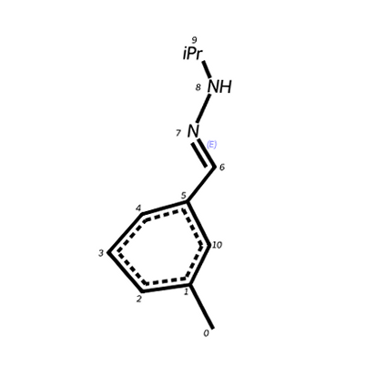 Cc1cccc(/C=N/NC(C)C)c1